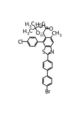 CC(=O)[C@@H](OC(C)(C)C)c1c(C)cc2nc(-c3ccc(-c4ccc(Br)cc4)cc3)sc2c1-c1ccc(Cl)cc1